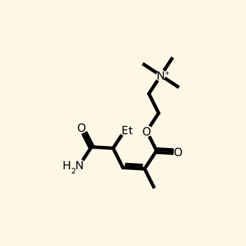 CCC(C=C(C)C(=O)OCC[N+](C)(C)C)C(N)=O